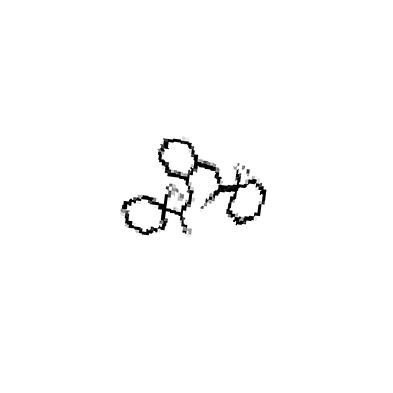 [CH2]C1(C(C)CC2CCCCC2CC(C)C2([CH2])CCCCC2)CCCCC1